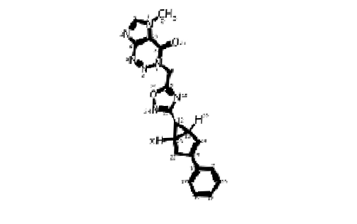 Cn1cnc2nnn(Cc3nc([C@H]4[C@@H]5C=C(c6ccccc6)C[C@@H]54)no3)c(=O)c21